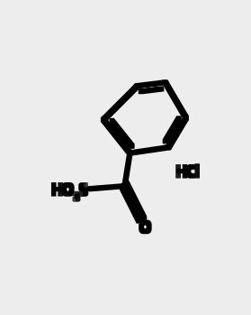 Cl.O=C(c1ccccc1)S(=O)(=O)O